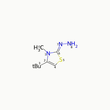 Cn1c(C(C)(C)C)csc1=NN